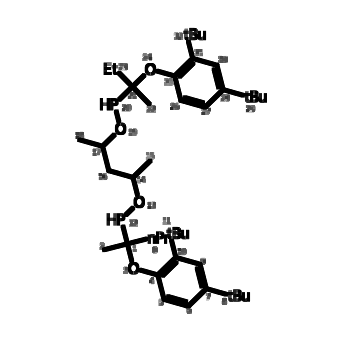 CCCC(C)(Oc1ccc(C(C)(C)C)cc1C(C)(C)C)POC(C)CC(C)OPC(C)(CC)Oc1ccc(C(C)(C)C)cc1C(C)(C)C